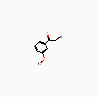 CCOc1cccc(C(=O)CC(C)C)c1